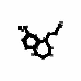 Nc1ccc2c(c1)C(CCBr)CCCO2